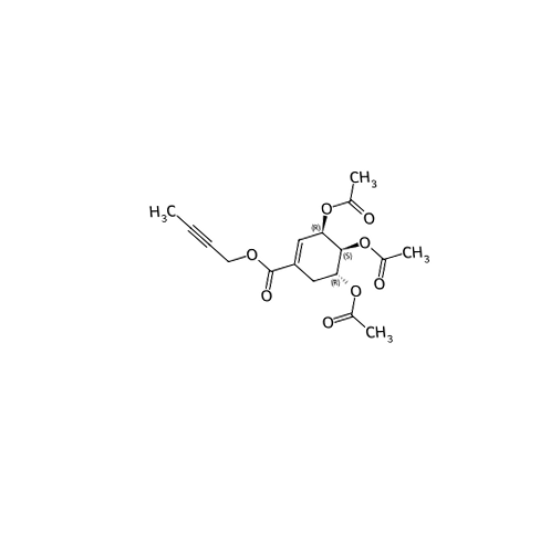 CC#CCOC(=O)C1=C[C@@H](OC(C)=O)[C@@H](OC(C)=O)[C@H](OC(C)=O)C1